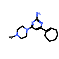 CN1CCN(c2cc(C3=CCCCCC3)nc(N)n2)CC1